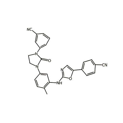 Cc1ccc(N2CCN(c3cccc(C#N)c3)C2=O)cc1Nc1ncc(-c2ccc(C#N)cc2)o1